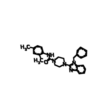 Cc1ccc(NC(=O)N2CCN(c3nc4ccccc4n3Cc3ccccc3)CC2)c(C)c1